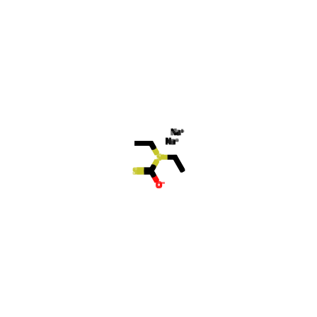 CC[S-](CC)C([O-])=S.[Na+].[Na+]